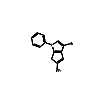 CCCC1=Cc2c(Br)cp(-c3ccccc3)c2C1